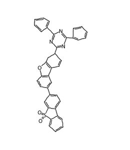 O=S1(=O)c2ccccc2-c2ccc(-c3ccc4oc5c(c4c3)C=CC(c3nc(-c4ccccc4)nc(-c4ccccc4)n3)C5)cc21